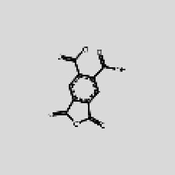 O=C(O)c1cc2c(cc1C(=O)Cl)C(=O)OC2=O